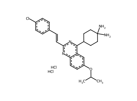 CC(C)Oc1ccc2nc(C=Cc3ccc(Cl)cc3)nc(C3CCC(N)(N)CC3)c2c1.Cl.Cl